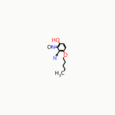 [C-]#[N+]c1c(O)ccc(OCCCCC)c1C#N